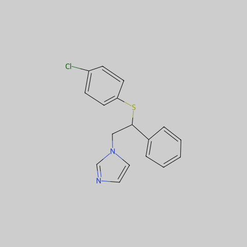 Clc1ccc(SC(Cn2ccnc2)c2ccccc2)cc1